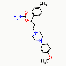 COc1ccc(N2CCN(CCC(OC(N)=O)c3ccc(C)cc3)CC2)cc1